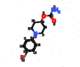 NC(=O)OC1CCN(c2ccc(Br)cc2)CC1